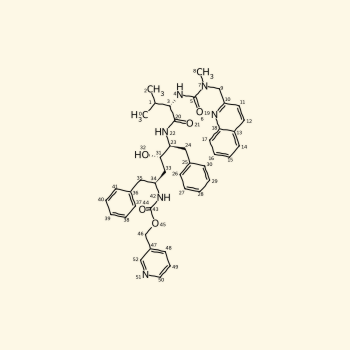 CC(C)[C@H](NC(=O)N(C)Cc1ccc2ccccc2n1)C(=O)N[C@@H](Cc1ccccc1)[C@@H](O)C[C@H](Cc1ccccc1)NC(=O)OCc1cccnc1